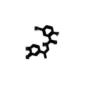 CC(C)c1ccc(F)c(C(=O)NCC(C)c2cc[nH]c(=O)c2)c1